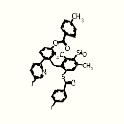 Cc1ccc(C(=O)Oc2ccc(-c3ccc(I)cn3)c(Cc3c(SC(=O)c4ccc(I)cc4)cc(C)c([S+]=O)c3C)c2)cc1